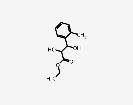 CCOC(=O)C(O)C(O)c1ccccc1C